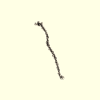 CCN(CC)CCOCCOCCOCCOCCOCCOCCOCCOCCOCCOCCOCCOCCOCCOCCOCCCC(F)(F)CC(F)(F)CC